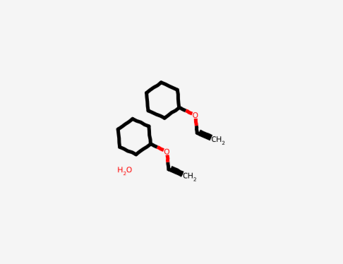 C=COC1CCCCC1.C=COC1CCCCC1.O